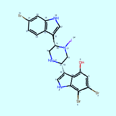 Oc1cc(Br)c(Br)c2[nH]cc([C@H]3CN(I)[C@H](c4c[nH]c5cc(Br)ccc45)CN3)c12